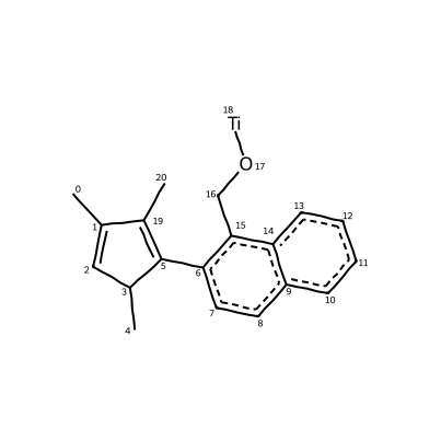 CC1=CC(C)C(c2ccc3ccccc3c2C[O][Ti])=C1C